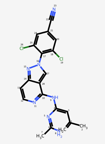 C=C(C)/C=C(\N=C(\C)N)Nc1nccc2nn(-c3c(Cl)cc(C#N)cc3Cl)cc12